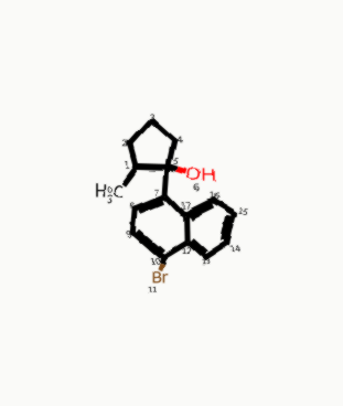 CC1CCCC1(O)c1ccc(Br)c2ccccc12